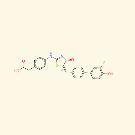 O=C(O)Cc1ccc(NC2=NC(=O)/C(=C\c3ccc(-c4ccc(O)c(F)c4)cc3)S2)cc1